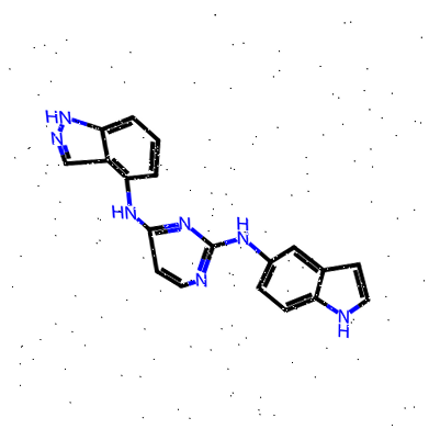 c1cc(Nc2ccnc(Nc3ccc4[nH]ccc4c3)n2)c2cn[nH]c2c1